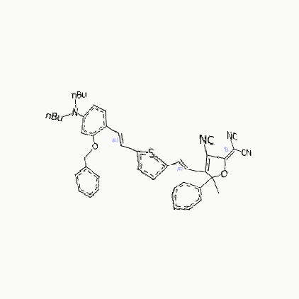 [C-]#[N+]C1=C(/C=C/c2ccc(/C=C/c3ccc(N(CCCC)CCCC)cc3OCc3ccccc3)s2)C(C)(c2ccccc2)O/C1=C(\C#N)[N+]#[C-]